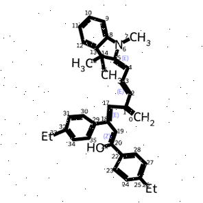 C=C(/C=C/C=C1/N(C)c2ccccc2C1(C)C)/C=C(\C=C(/O)c1ccc(CC)cc1)c1ccc(CC)cc1